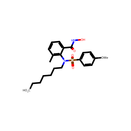 COc1ccc(S(=O)(=O)N(CCCCCCC(=O)O)c2c(C)cccc2C(=O)NO)cc1